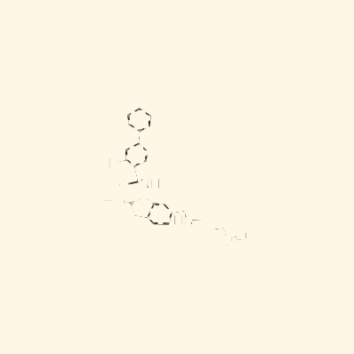 CCOCCCNCc1ccc2c(c1)[C@@H](NC(=O)c1ccc(-c3ccccc3)cc1F)[C@H](O)C2